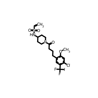 C=CS(=O)(=O)NC1CCN(C(=O)CCCc2cc(C(F)(F)I)c(Cl)cc2OC)CC1